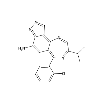 CC(C)c1cnc2c(cc(N)c3nncc32)c(-c2ccccc2Cl)n1